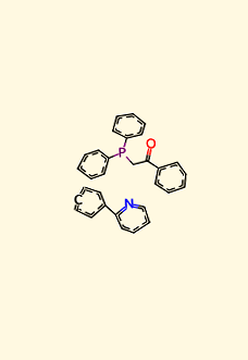 O=C(CP(c1ccccc1)c1ccccc1)c1ccccc1.c1ccc(-c2ccccn2)cc1